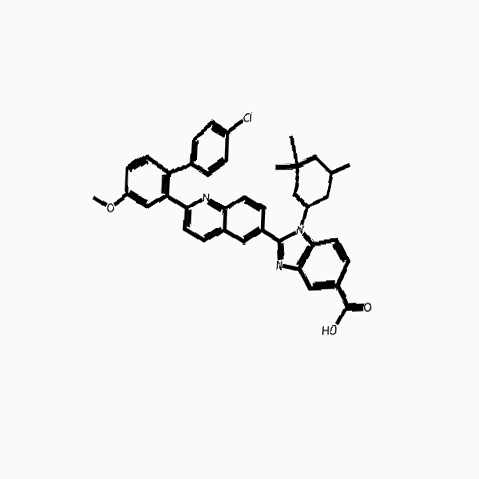 COc1ccc(-c2ccc(Cl)cc2)c(-c2ccc3cc(-c4nc5cc(C(=O)O)ccc5n4C4CC(C)CC(C)(C)C4)ccc3n2)c1